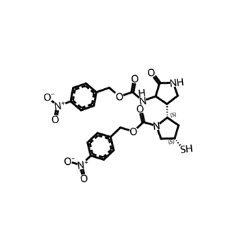 O=C(NC1C(=O)NCC1[C@@H]1C[C@H](S)CN1C(=O)OCc1ccc([N+](=O)[O-])cc1)OCc1ccc([N+](=O)[O-])cc1